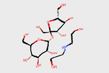 OCCNCCO.OC[C@H]1O[C@@](CO)(O[C@H]2O[C@H](CO)[C@@H](O)[C@H](O)[C@H]2O)[C@@H](O)[C@@H]1O